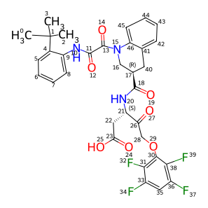 CC(C)(C)c1ccccc1NC(=O)C(=O)N1C[C@H](C(=O)N[C@@H](CC(=O)O)C(=O)COc2c(F)c(F)cc(F)c2F)Cc2ccccc21